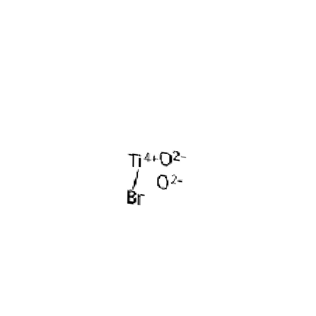 [O-2].[O-2].[Ti+4][Br]